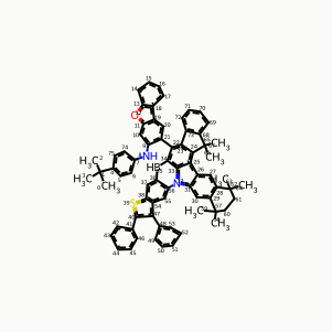 CC(C)(C)c1ccc(Nc2cc3oc4ccccc4c3cc2-c2c3c(c4c5cc6c(cc5n5c4c2Bc2cc4sc(-c7ccccc7)c(-c7ccccc7)c4cc2-5)C(C)(C)CCC6(C)C)C(C)(C)c2ccccc2-3)cc1